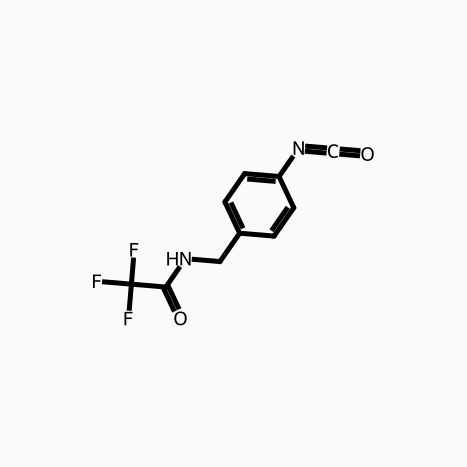 O=C=Nc1ccc(CNC(=O)C(F)(F)F)cc1